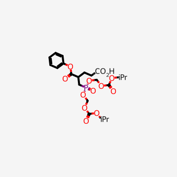 CC(C)OC(=O)OCOP(=O)(CC(CCC(=O)O)C(=O)Oc1ccccc1)OCOC(=O)OC(C)C